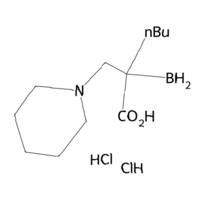 BC(CCCC)(CN1CCCCC1)C(=O)O.Cl.Cl